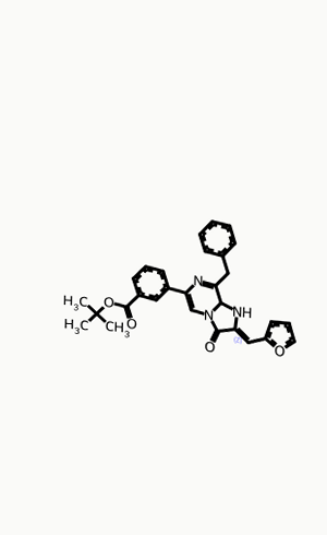 CC(C)(C)OC(=O)c1cccc(C2=CN3C(=O)/C(=C/c4ccco4)NC3C(Cc3ccccc3)=N2)c1